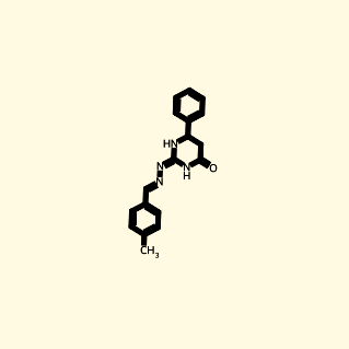 Cc1ccc(C=NN=C2NC(=O)CC(c3ccccc3)N2)cc1